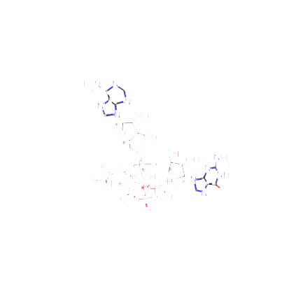 Nc1nc2c(ncn2[C@@H]2O[C@H](COP(=O)(OC[C@H]3O[C@@H](n4cnc5c(N)ncnc54)C(O)C3O)OP(=O)(OP(=O)(O)O)OP(=O)(O)OP(=O)(O)OP(=O)(O)O)C(O)C2O)c(=O)[nH]1